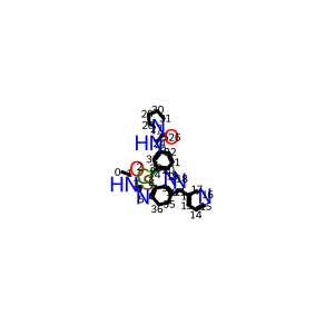 CC(=O)Nc1nc2c(s1)-c1c(c(-c3cccnc3)nn1-c1ccc(NC(=O)N3CCCC3)cc1Cl)CC2